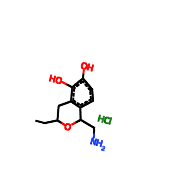 CCC1Cc2c(ccc(O)c2O)C(CN)O1.Cl